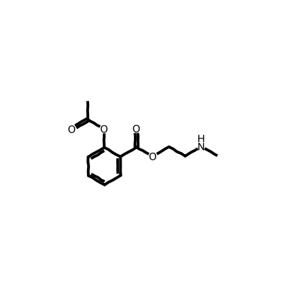 CNCCOC(=O)c1ccccc1OC(C)=O